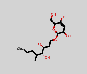 CCCCCCCCCCCCC(C)[C@@H](O)[C@@H](O)CCOC1OC(CO)C(O)=CC1O